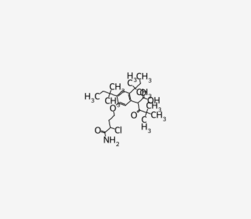 CCC(C)(C)c1cc(C(C)(C)CC)c(C(C(=O)O)C(=O)C(C)(C)C)cc1OCCC(Cl)C(N)=O